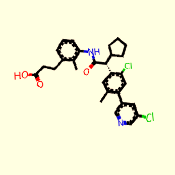 Cc1cc([C@H](C(=O)Nc2cccc(CCC(=O)O)c2C)C2CCCC2)c(Cl)cc1-c1cncc(Cl)c1